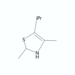 CC1=C(C(C)C)SC(C)N1